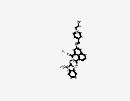 Cn1/c(=N/N2C(=O)c3cccc4cc(/N=C/c5cc[n+](CCO)cc5)cc(c34)C2=O)sc2ccccc21.[Br-]